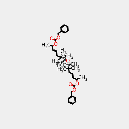 CC(C=CCC(C)(C)[Si](C)(C)O[Si](C)(C)C(C)(C)CC=CC(C)OC(=O)OCc1ccccc1)OC(=O)OCc1ccccc1